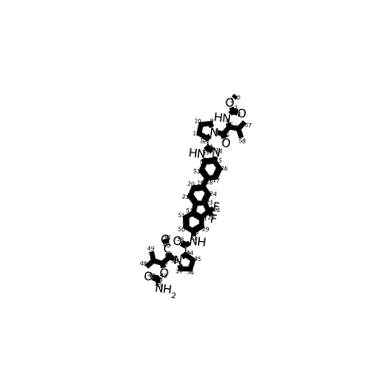 COC(=O)NC(C(=O)N1CCC[C@H]1c1nc2ccc(-c3ccc4c(c3)C(F)(F)c3cc(NC(=O)[C@@H]5CCCN5C(=C=O)C(OC(N)=O)C(C)C)ccc3-4)cc2[nH]1)C(C)C